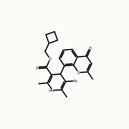 CC(=O)C1=C(C)NC(C)=C(C(=O)OCC2CCC2)C1c1cccc2c(=O)cc(C)oc12